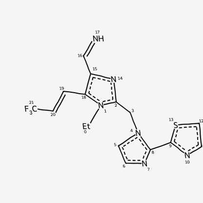 CCn1c(Cn2ccnc2-c2nccs2)nc(C=N)c1/C=C/C(F)(F)F